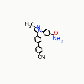 Cc1cc(-c2ccc(-c3ccc(C#N)cc3)cc2)n(-c2ccc(C(N)=O)cc2)n1